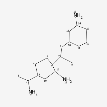 CC(N)C1CCC(C(C)CC2CCCC(N)C2)C(N)C1